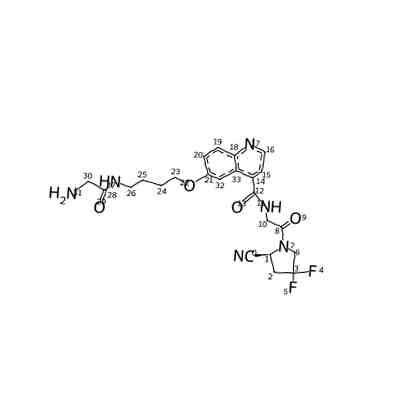 N#C[C@@H]1CC(F)(F)CN1C(=O)CNC(=O)c1ccnc2ccc(OCCCCNC(=O)CN)cc12